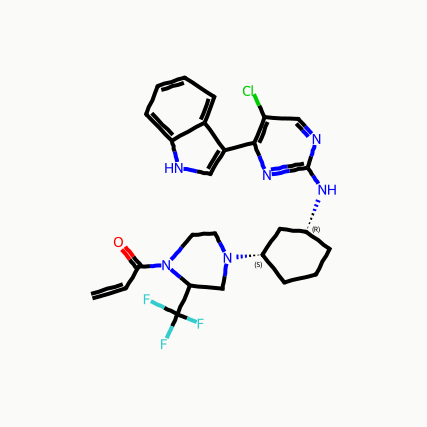 C=CC(=O)N1CCN([C@H]2CCC[C@@H](Nc3ncc(Cl)c(-c4c[nH]c5ccccc45)n3)C2)CC1C(F)(F)F